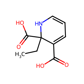 CCC1(C(=O)O)NC=CC=C1C(=O)O